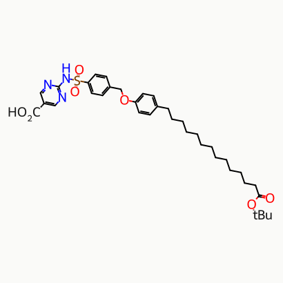 CC(C)(C)OC(=O)CCCCCCCCCCCCCc1ccc(OCc2ccc(S(=O)(=O)Nc3ncc(C(=O)O)cn3)cc2)cc1